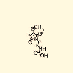 COC1CC(=O)N(CCNC(=O)O)C1=O